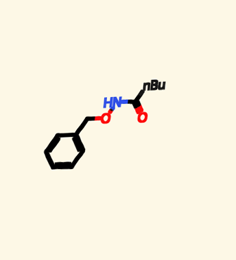 CCCCC(=O)NOCc1ccccc1